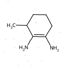 CC1CCCC(N)=C1N